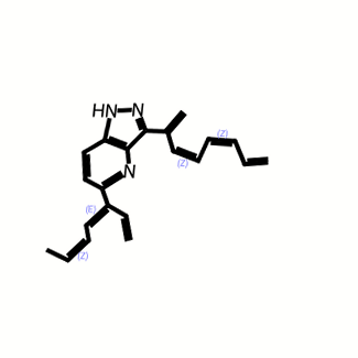 C=C/C=C\C=C/C(=C)c1n[nH]c2ccc(/C(C=C)=C/C=C\C)nc12